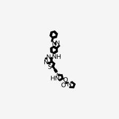 O=C(O[C@H]1CN[C@H](C#Cc2cc3c(Nc4ccc5c(cnn5Cc5ccccc5)c4)ncnc3s2)C1)N1CCCC1